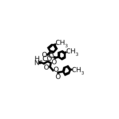 Cc1ccc(C(=O)OCC2OC(C#N)[C@](C)(OC(=O)c3ccc(C)cc3)[C@@H]2OC(=O)c2ccc(C)cc2)cc1